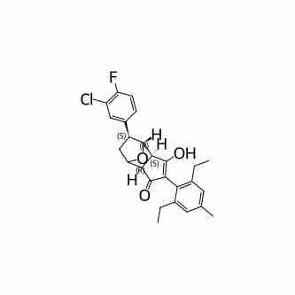 CCc1cc(C)cc(CC)c1C1=C(O)[C@@H]2[C@@H]3OC(C[C@H]3c3ccc(F)c(Cl)c3)[C@@H]2C1=O